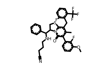 COc1cccc(-c2c(C)c(Cc3c(F)cccc3C(F)(F)F)c3n(c2=O)C(C(NCCCC#N)c2ccccc2)CS3)c1F